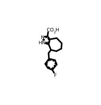 O=C(O)c1n[nH]c2c1CCCCC2Cc1ccc(F)cc1